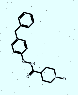 CCN1CCC(C(=O)NOc2ccc(Cc3ccccc3)cc2)CC1